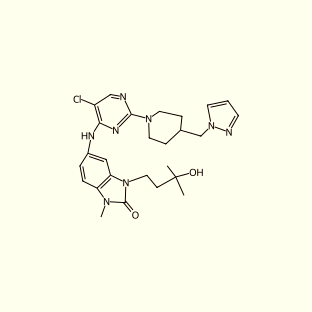 Cn1c(=O)n(CCC(C)(C)O)c2cc(Nc3nc(N4CCC(Cn5cccn5)CC4)ncc3Cl)ccc21